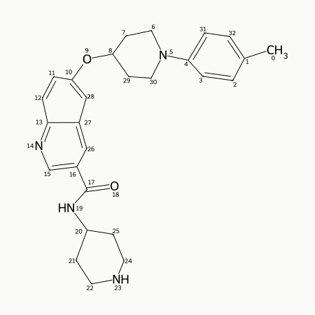 Cc1ccc(N2CCC(Oc3ccc4ncc(C(=O)NC5CCNCC5)cc4c3)CC2)cc1